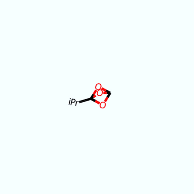 CC(C)C12OC(O1)O2